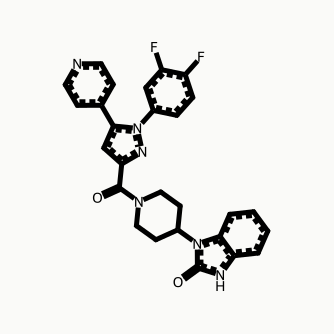 O=C(c1cc(-c2ccncc2)n(-c2ccc(F)c(F)c2)n1)N1CCC(n2c(=O)[nH]c3ccccc32)CC1